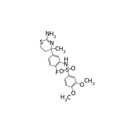 COc1ccc(S(=O)(=O)Nc2cc(C3(C)CCSC(N)=N3)ccc2F)cc1OC